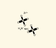 O=S(=O)([O-])[O-].O=S(=O)([O-])[O-].[NH4+].[NH4+].[Zr+2]